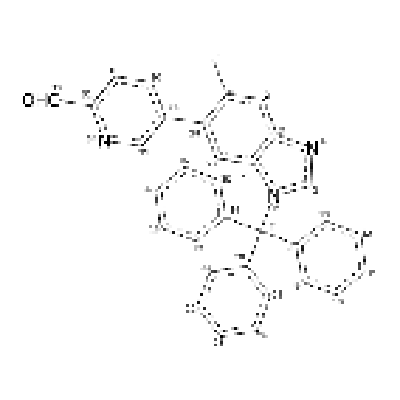 Cc1cc2ncn(C(c3ccccc3)(c3ccccc3)c3ccccc3)c2cc1-c1ccc(C=O)nc1